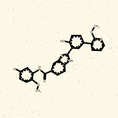 COc1ccc(Cl)cc1NC(=O)c1ccc2[nH]c(-c3cc(-c4cccnc4OC)ccc3O)nc2c1